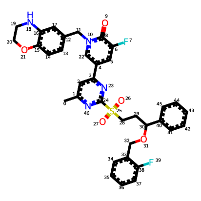 Cc1cc(-c2cc(F)c(=O)n(Cc3ccc4c(c3)NCCO4)c2)nc(S(=O)(=O)CCC(OCc2ccccc2F)c2ccccc2)n1